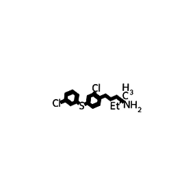 CC[C@](C)(N)CCCc1ccc(Sc2cccc(Cl)c2)cc1Cl